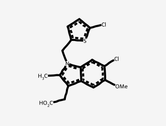 COc1cc2c(CC(=O)O)c(C)n(Cc3ccc(Cl)s3)c2cc1Cl